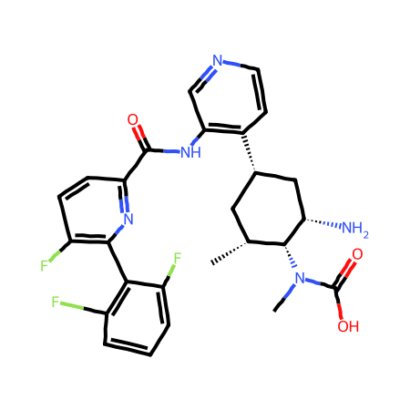 C[C@@H]1C[C@H](c2ccncc2NC(=O)c2ccc(F)c(-c3c(F)cccc3F)n2)C[C@H](N)[C@@H]1N(C)C(=O)O